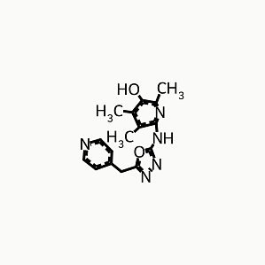 Cc1nc(Nc2nnc(Cc3ccncc3)o2)c(C)c(C)c1O